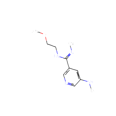 CCNc1cncc(C(=NC#N)NCCO[N+](=O)[O-])c1